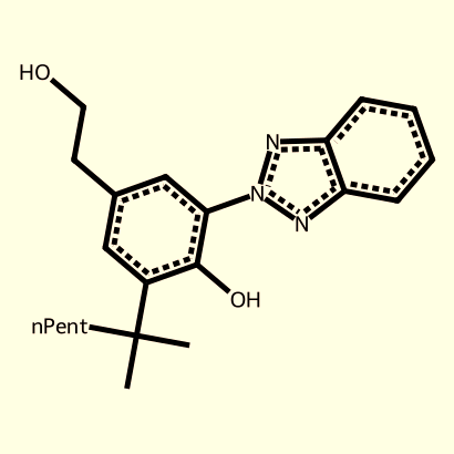 CCCCCC(C)(C)c1cc(CCO)cc(-n2nc3ccccc3n2)c1O